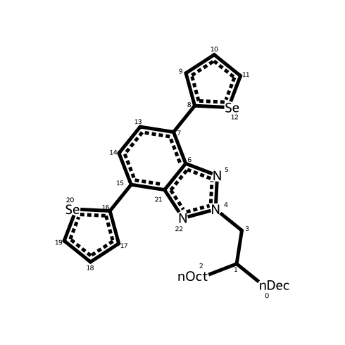 CCCCCCCCCCC(CCCCCCCC)Cn1nc2c(-c3ccc[se]3)ccc(-c3ccc[se]3)c2n1